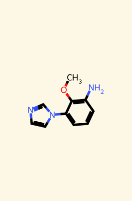 COc1c(N)cccc1-n1ccnc1